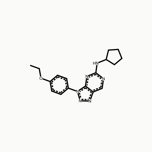 CCOc1ccc(-n2nnc3cnc(NC4CCCC4)nc32)cc1